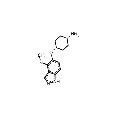 CSc1c(O[C@H]2CC[C@@H](N)CC2)ccc2[nH]ncc12